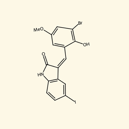 COc1cc(Br)c(O)c(C=C2C(=O)Nc3ccc(I)cc32)c1